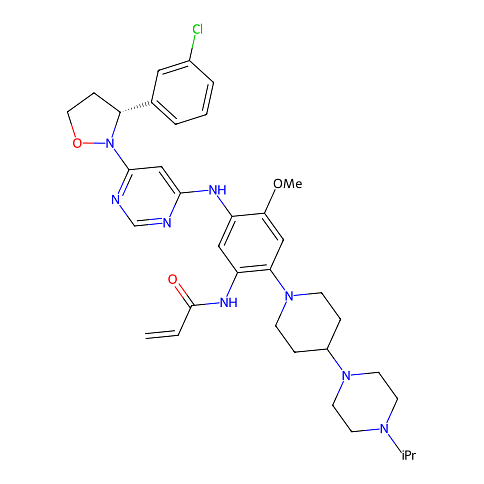 C=CC(=O)Nc1cc(Nc2cc(N3OCC[C@@H]3c3cccc(Cl)c3)ncn2)c(OC)cc1N1CCC(N2CCN(C(C)C)CC2)CC1